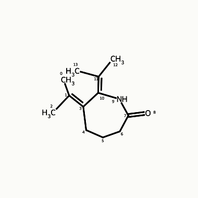 CC(C)=C1CCCC(=O)NC1=C(C)C